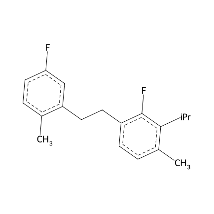 Cc1ccc(F)cc1CCc1ccc(C)c(C(C)C)c1F